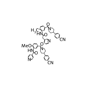 COc1ccc(C(=O)N2CCC(c3ccc(C#N)cc3)CC2)cc1NC(=O)c1ccncc1.Cc1ccc(C(=O)N2CCC(c3ccc(C#N)cc3)CC2)cc1NC(=O)Cc1cccnc1